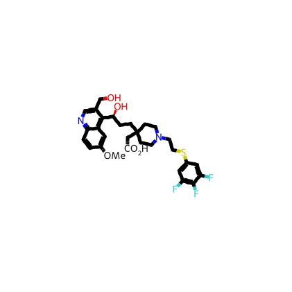 COc1ccc2ncc(CO)c([C@@H](O)CCC3(CC(=O)O)CCN(CCSc4cc(F)c(F)c(F)c4)CC3)c2c1